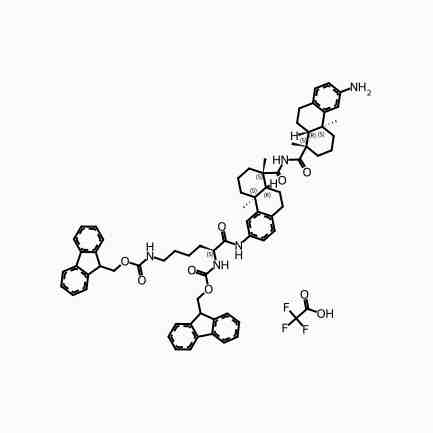 C[C@]1(C(=O)NC(=O)[C@@]2(C)CCC[C@]3(C)c4cc(NC(=O)[C@H](CCCCNC(=O)OCC5c6ccccc6-c6ccccc65)NC(=O)OCC5c6ccccc6-c6ccccc65)ccc4CC[C@@H]23)CCC[C@]2(C)c3cc(N)ccc3CC[C@@H]12.O=C(O)C(F)(F)F